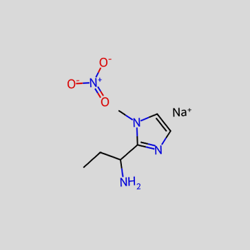 CCC(N)c1nccn1C.O=[N+]([O-])[O-].[Na+]